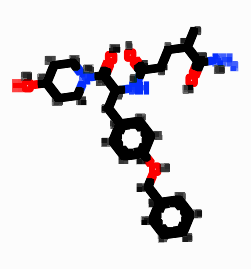 CC(C[CH]C(=O)NC(Cc1ccc(OCc2ccccc2)cc1)C(=O)N1CCC(O)CC1)C(N)=O